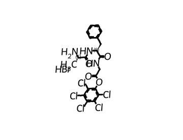 Br.C[C@H](N)C(=O)N[C@@H](Cc1ccccc1)C(=O)NCC(=O)Oc1c(Cl)c(Cl)c(Cl)c(Cl)c1Cl